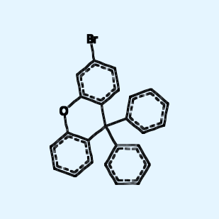 Brc1ccc2c(c1)Oc1ccccc1C2(c1ccccc1)c1ccccc1